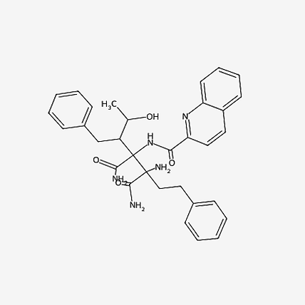 CC(O)C(Cc1ccccc1)C(NC(=O)c1ccc2ccccc2n1)(C(N)=O)C(N)(CCc1ccccc1)C(N)=O